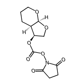 O=C(O[C@@H]1CO[C@@H]2OCCC[C@@H]21)ON1C(=O)CCC1=O